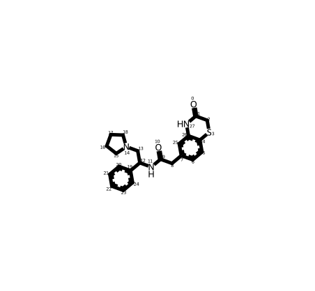 O=C1CSc2ccc(CC(=O)NC(CN3CCCC3)c3ccccc3)cc2N1